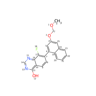 COCOc1cc(-c2ccc3c(O)ncnc3c2F)c2ccccc2c1